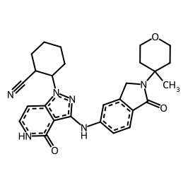 CC1(N2Cc3cc(Nc4nn(C5CCCCC5C#N)c5cc[nH]c(=O)c45)ccc3C2=O)CCOCC1